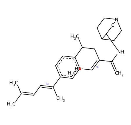 C=C(NC1CN2CCC1CC2)/C(=C/NC)CC(C)c1ccc(/C(C)=C/C=C(C)C)cc1